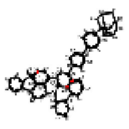 CC1(C)c2ccccc2-c2ccc(N(c3ccccc3-c3ccccc3)c3ccc(-c4ccc(-c5ccc(C67CC8CC(CC(C8)C6)C7)cc5)cc4)cc3-c3ccccc3)cc21